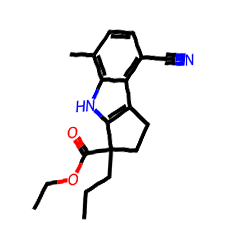 CCCC1(C(=O)OCC)CCc2c1[nH]c1c(C)ccc(C#N)c21